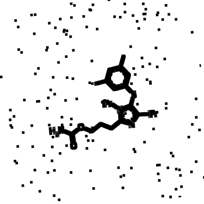 Cc1cc(C)cc(Sc2c(C(C)C)nc(CCCOC(N)=O)n2C(C)C)c1